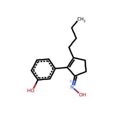 CCCCC1=C(c2cccc(O)c2)/C(=N/O)CC1